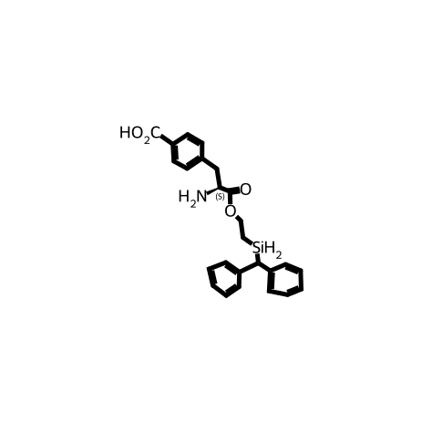 N[C@@H](Cc1ccc(C(=O)O)cc1)C(=O)OCC[SiH2]C(c1ccccc1)c1ccccc1